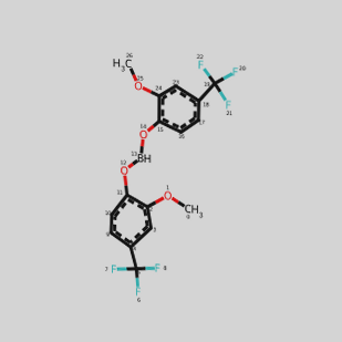 COc1cc(C(F)(F)F)ccc1OBOc1ccc(C(F)(F)F)cc1OC